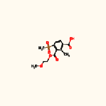 COCCOC(=O)c1c(S(C)(=O)=O)ccc(C(=O)O)c1C